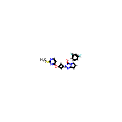 CSc1nccc(O[C@H]2C[C@H](n3nc4n(c3=O)[C@H](c3cc(F)cc(F)c3)CC4)C2)n1